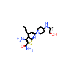 CCCc1cc(N2CCC(N[C@@H](C)CO)CC2)nc2sc(C(N)=O)c(N)c12